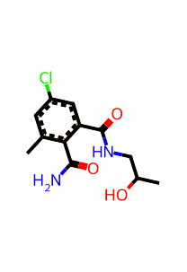 Cc1cc(Cl)cc(C(=O)NCC(C)O)c1C(N)=O